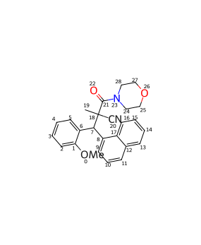 COc1ccccc1C(c1cccc2ccccc12)C(C)(C#N)C(=O)N1CCOCC1